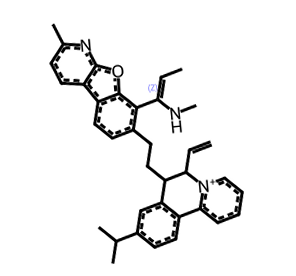 C=CC1C(CCc2ccc3c(oc4nc(C)ccc43)c2/C(=C/C)NC)c2cc(C(C)C)ccc2-c2cccc[n+]21